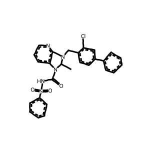 CC1N(Cc2ccc(-c3ccccc3)cc2Cl)c2ncccc2N1C(=O)NS(=O)(=O)c1ccccc1